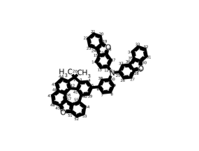 CC1(C)c2cc(-c3cccc(N(c4ccc5c(c4)oc4ccccc45)c4ccc5oc6ccccc6c5c4)c3)cc3c2-c2c1ccc1ccc4oc5cccc-3c5c4c21